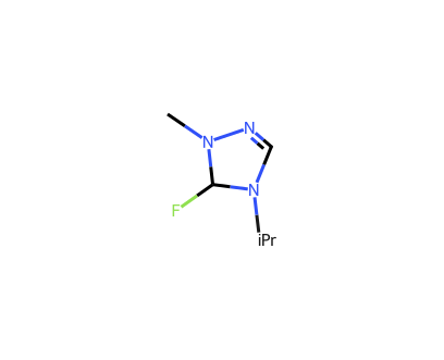 CC(C)N1C=NN(C)C1F